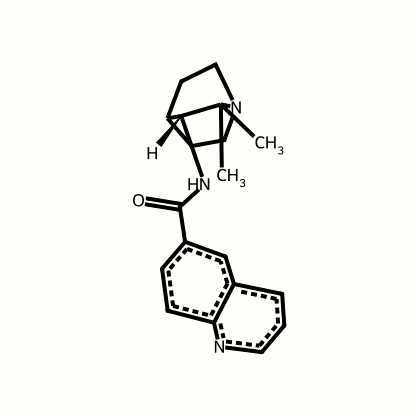 CC1(C)[C@H](NC(=O)c2ccc3ncccc3c2)C2CCN1CC2